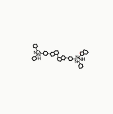 C1=C(c2ccc(-c3ccc4c(-c5cccc6cc(-c7ccc(C8=NC(c9ccccc9)NC(c9ccc%10ccccc%10c9)=N8)cc7)ccc56)cccc4c3)cc2)NC(c2ccccc2)N=C1c1ccccc1